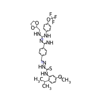 COc1ccc(C(C)C)c(NC(=S)N/N=C/c2ccc(C(=N)/N=C(/NCC3OCCO3)Nc3ccc(OC(F)(F)F)cc3)cc2)c1